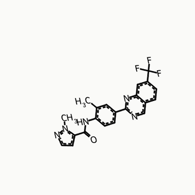 Cc1cc(-c2ncc3ccc(C(F)(F)F)cc3n2)ccc1NC(=O)c1ccnn1C